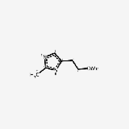 COCCc1cnc(C)s1